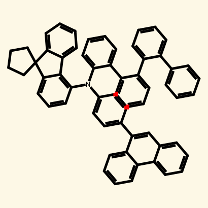 c1ccc(-c2ccccc2-c2ccccc2-c2ccccc2N(c2ccc(-c3cc4ccccc4c4ccccc34)cc2)c2cccc3c2-c2ccccc2C32CCCC2)cc1